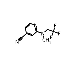 CN(CC(F)(F)F)c1cc(C#N)ccn1